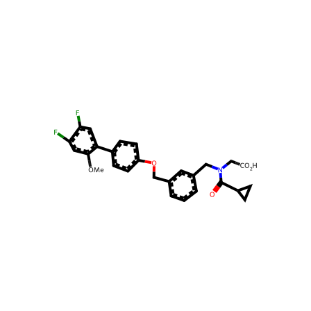 COc1cc(F)c(F)cc1-c1ccc(OCc2cccc(CN(CC(=O)O)C(=O)C3CC3)c2)cc1